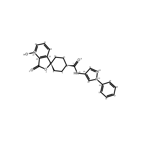 O=C1O[C@]2(CC[C@H](C(=O)Nc3cnn(-c4ccccc4)c3)CC2)c2ccc[n+]([O-])c21